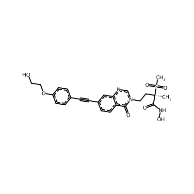 C[C@@](CCn1cnc2cc(C#Cc3ccc(OCCO)cc3)ccc2c1=O)(C(=O)NO)S(C)(=O)=O